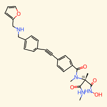 CNC(=O)[C@@](C)(C(=O)NO)N(C)C(=O)c1ccc(C#Cc2ccc(CNCc3ccco3)cc2)cc1